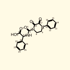 O=C(O)C(NC(=O)N1CCN(c2ccccc2)C(=O)C1=O)c1ccccc1